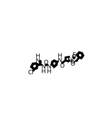 O=C(Nc1ccc(NC(=O)C2CCN(S(=O)(=O)Cc3ccccc3F)C2)cc1)Nc1c[nH]c2ccc(Cl)cc12